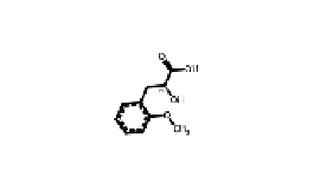 COc1ccccc1C[C@H](O)C(=O)O